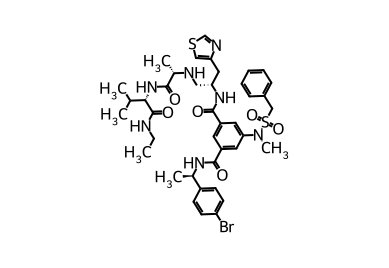 CCNC(=O)[C@@H](NC(=O)[C@H](C)NC[C@H](Cc1cscn1)NC(=O)c1cc(C(=O)N[C@H](C)c2ccc(Br)cc2)cc(N(C)S(=O)(=O)Cc2ccccc2)c1)C(C)C